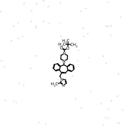 Cc1nccn1CC1=Cc2ccccc2C(N2CCN(C(=O)OC(C)(C)C)CC2)c2ccccc21